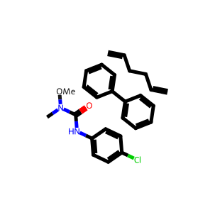 C=CCCC=C.CON(C)C(=O)Nc1ccc(Cl)cc1.c1ccc(-c2ccccc2)cc1